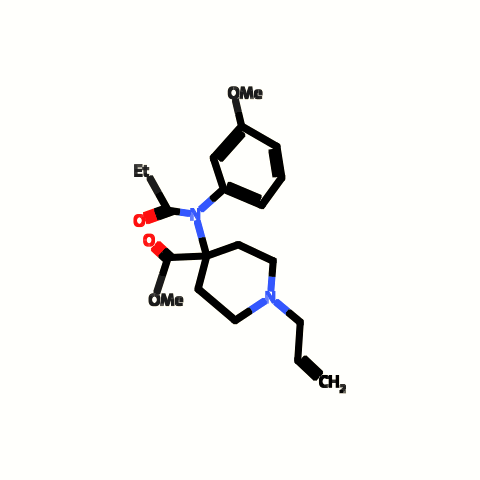 C=CCN1CCC(C(=O)OC)(N(C(=O)CC)c2cccc(OC)c2)CC1